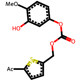 COc1ccc(OC(=O)OCc2ccc(C(C)=O)s2)cc1O